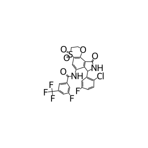 O=C(Nc1cc2c(c3c1C(c1cc(F)ccc1Cl)NC3=O)OCCS2(=O)=O)c1cc(F)cc(C(F)(F)F)c1